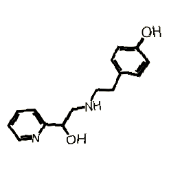 Oc1ccc(CCNCC(O)c2ccccn2)cc1